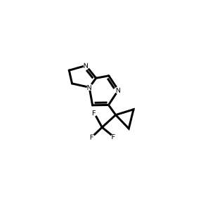 FC(F)(F)C1(C2=CN3CCN=C3C=N2)CC1